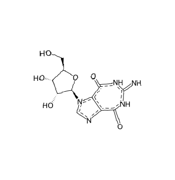 N=c1[nH]c(=O)c2ncn([C@@H]3O[C@H](CO)[C@@H](O)[C@H]3O)c2c(=O)[nH]1